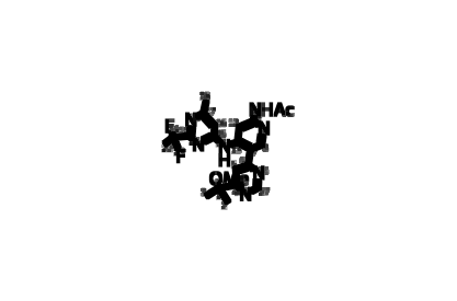 COC(C)(C)c1cc(-c2cnc(NC(C)=O)cc2Nc2cc(C)nc(C(C)(F)F)n2)ncn1